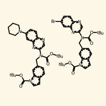 CC(C)(C)OC(=O)N(Cc1ccc2ccn(C(=O)OC(C)(C)C)c2c1)c1cnc2ccc(Br)cc2n1.CC(C)(C)OC(=O)N(Cc1ccc2ccn(C(=O)OC(C)(C)C)c2c1)c1cnc2ccc(N3CCCCC3)cc2n1